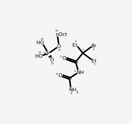 CCC(Br)(CC)C(=O)NC(N)=O.CCCCCCCCOP(=O)(O)O